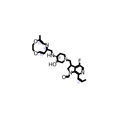 C/C=C\c1ncc(F)c2c1N(C=O)CC2CN1CC[C@H](NCC2=N/C=C(\C)OCCO\C=C\2)[C@H](O)C1